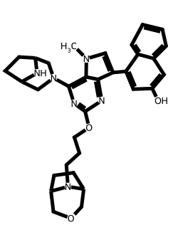 Cn1cc(-c2cc(O)cc3ccccc23)c2nc(OCCCN3C4CCC3COC4)nc(N3CC4CCC(C3)N4)c21